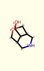 OCC1C2CNCC1COC2